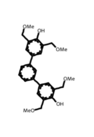 COCc1cc(-c2cccc(-c3cc(COC)c(O)c(COC)c3)c2)cc(COC)c1O